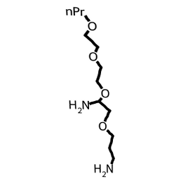 CCCOCCOCCOC(N)COCCCN